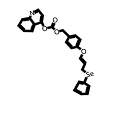 O=C(OCc1ccc(OC=CC[Se]c2ccccc2)cc1)Oc1ccnc2ccccc12